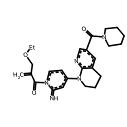 C=C(COCC)C(=O)n1ccc(N2CCCc3cc(C(=O)N4CCCCC4)cnc32)cc1=N